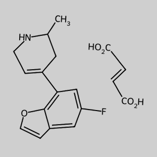 CC1CC(c2cc(F)cc3ccoc23)=CCN1.O=C(O)/C=C/C(=O)O